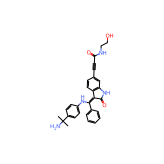 CC(C)(N)c1ccc(N/C(=C2/C(=O)Nc3cc(C#CC(=O)NCCO)ccc32)c2ccccc2)cc1